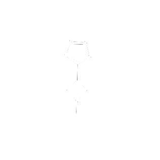 O=C(O)N1CC(c2nnn[nH]2)C1